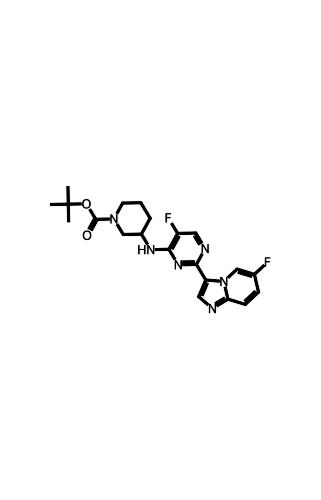 CC(C)(C)OC(=O)N1CCCC(Nc2nc(-c3cnc4ccc(F)cn34)ncc2F)C1